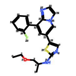 CCOCC(C)Nc1ncc(-c2cc(-c3ccccc3F)c3nccn3c2)s1